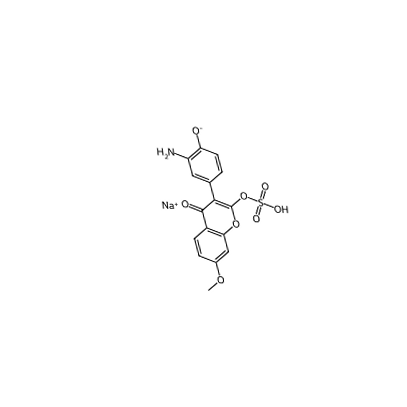 COc1ccc2c(=O)c(-c3ccc([O-])c(N)c3)c(OS(=O)(=O)O)oc2c1.[Na+]